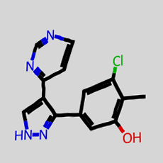 Cc1c(O)cc(-c2n[nH]cc2-c2ccncn2)cc1Cl